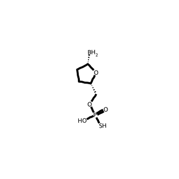 B[C@H]1CC[C@@H](COP(=O)(O)S)O1